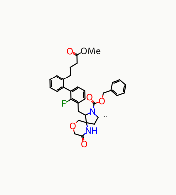 COC(=O)CCCc1ccccc1-c1cccc(CC2N(C(=O)OCc3ccccc3)[C@H](C)CC23COCC(=O)N3)c1F